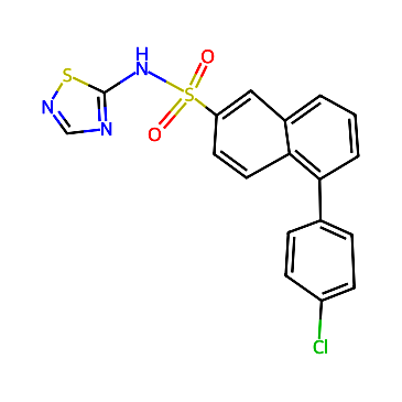 O=S(=O)(Nc1ncns1)c1ccc2c(-c3ccc(Cl)cc3)cccc2c1